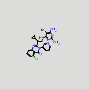 N#Cc1c(N)nc(N)nc1NCC(c1nc2cccc(Cl)c2c(=O)n1-c1cccnc1)C1CC1